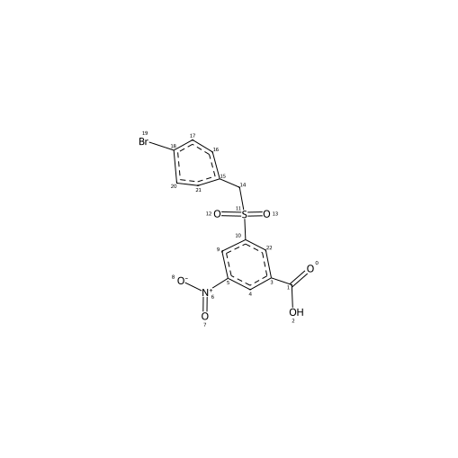 O=C(O)c1cc([N+](=O)[O-])cc(S(=O)(=O)Cc2ccc(Br)cc2)c1